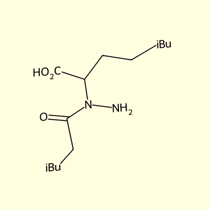 CCC(C)CCC(C(=O)O)N(N)C(=O)CC(C)CC